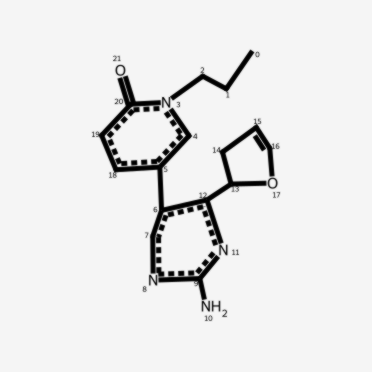 CCCn1cc(-c2cnc(N)nc2C2CC=CO2)ccc1=O